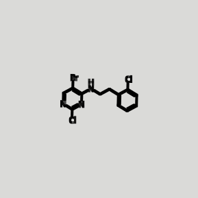 Clc1ncc(Br)c(NCCc2ccccc2Cl)n1